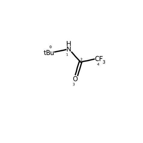 CC(C)(C)NC(=O)C(F)(F)F